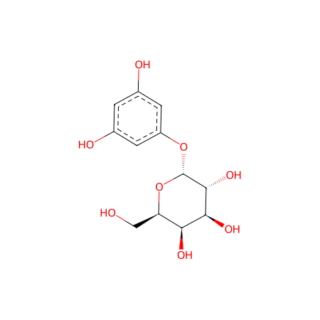 OC[C@H]1O[C@H](Oc2cc(O)cc(O)c2)[C@H](O)[C@@H](O)[C@H]1O